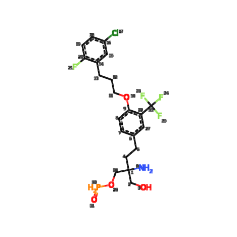 NC(CO)(CCc1ccc(OCCCc2cc(Cl)ccc2F)c(C(F)(F)F)c1)CO[PH2]=O